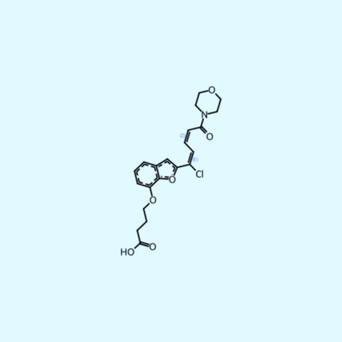 O=C(O)CCCOc1cccc2cc(/C(Cl)=C\C=C/C(=O)N3CCOCC3)oc12